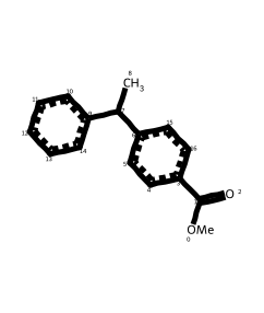 COC(=O)c1ccc(C(C)c2ccccc2)cc1